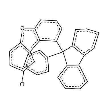 Clc1ccc2oc3cccc(C4(c5ccccc5)c5ccccc5-c5ccccc54)c3c2c1